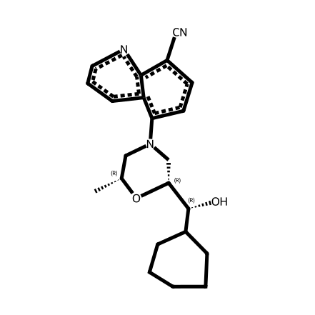 C[C@@H]1CN(c2ccc(C#N)c3ncccc23)C[C@H]([C@H](O)C2CCCCC2)O1